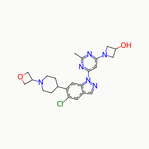 Cc1nc(N2CC(O)C2)cc(-n2ncc3cc(Cl)c(C4CCN(C5COC5)CC4)cc32)n1